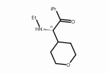 CCN[C@H](C(=O)C(C)C)C1CCOCC1